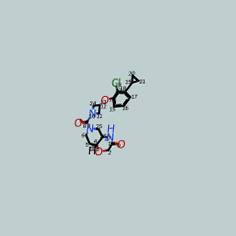 O=C1CO[C@H]2CCN(C(=O)N3CC(Oc4cccc(C5CC5)c4Cl)C3)CC2N1